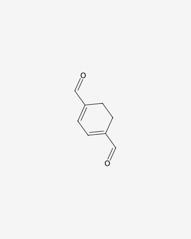 O=CC1=CC=C(C=O)CC1